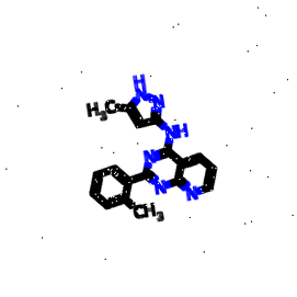 Cc1cc(Nc2nc(-c3ccccc3C)nc3ncccc23)n[nH]1